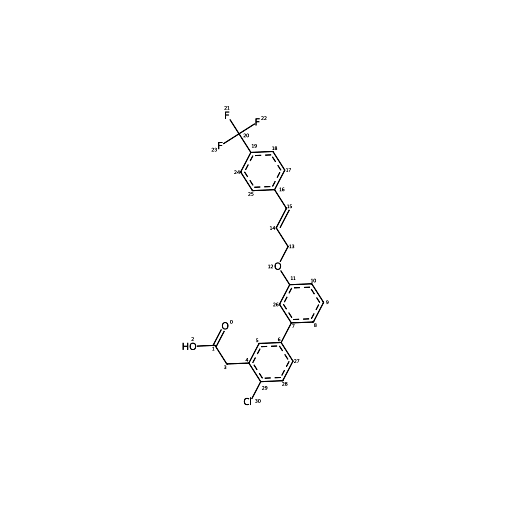 O=C(O)Cc1cc(-c2cccc(OCC=Cc3ccc(C(F)(F)F)cc3)c2)ccc1Cl